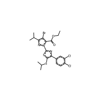 CCOC(=O)c1c(Br)c(C(C)C)nn1-c1nc(-c2ccc(Cl)c(Cl)c2)c(SC(C)C)s1